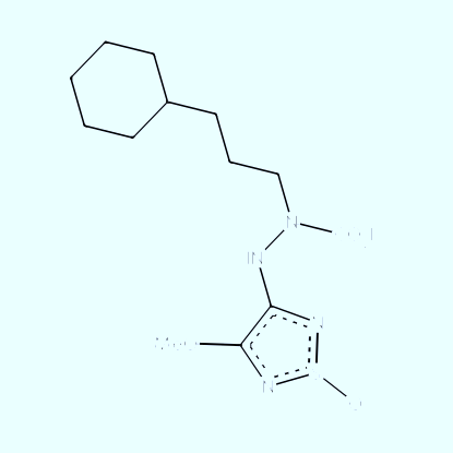 COc1n[s+]([O-])nc1NN(CCCC1CCCCC1)C(=O)O